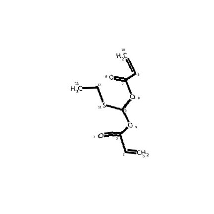 C=CC(=O)OC(OC(=O)C=C)SCC